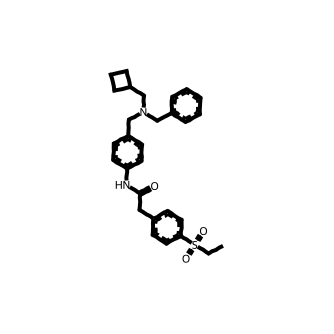 CCS(=O)(=O)c1ccc(CC(=O)Nc2ccc(CN(Cc3ccccc3)CC3CCC3)cc2)cc1